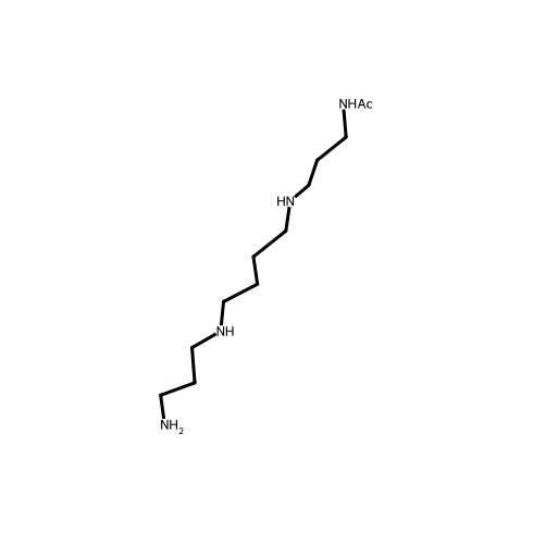 CC(=O)NCCCNCCCCNCCCN